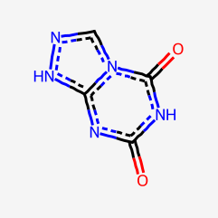 O=c1nc2[nH]ncn2c(=O)[nH]1